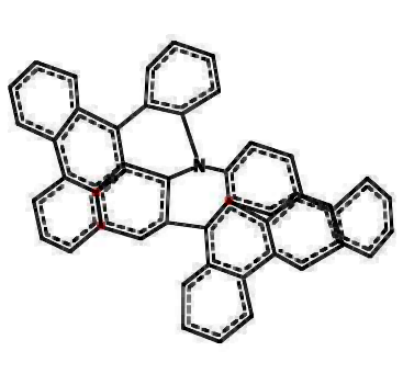 c1ccc(-c2ccc(N(c3ccccc3-c3cc4ccccc4c4ccccc34)c3ccccc3-c3cc4ccccc4c4ccccc34)cc2)cc1